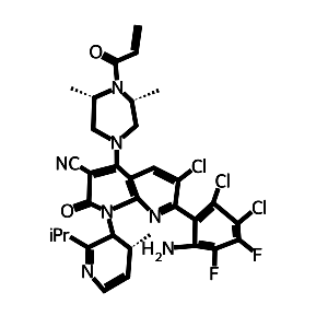 C=CC(=O)N1[C@H](C)CN(c2c(C#N)c(=O)n(C3C(C(C)C)=NC=C[C@H]3C)c3nc(-c4c(N)c(F)c(F)c(Cl)c4Cl)c(Cl)cc23)C[C@@H]1C